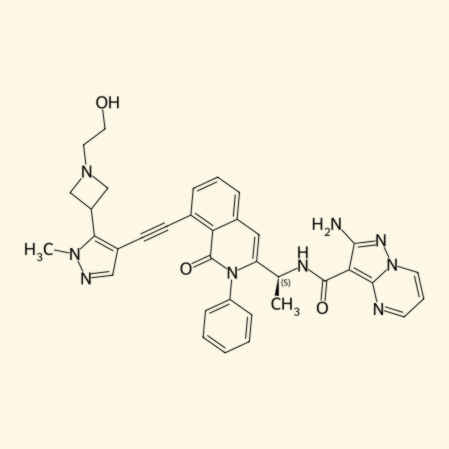 C[C@H](NC(=O)c1c(N)nn2cccnc12)c1cc2cccc(C#Cc3cnn(C)c3C3CN(CCO)C3)c2c(=O)n1-c1ccccc1